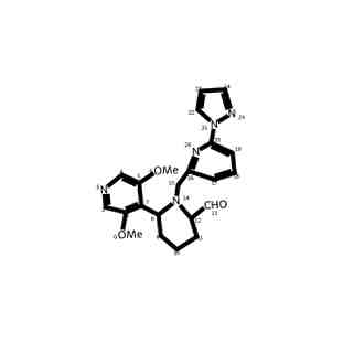 COc1cncc(OC)c1C1CCCC(C=O)N1Cc1cccc(-n2cccn2)n1